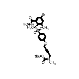 Cc1cc(Br)cc(C(=O)NO)c1N(C)S(=O)(=O)c1ccc(OCC#CCN(C)C(=O)OC(C)(C)C)cc1